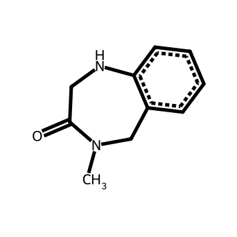 CN1Cc2ccccc2NCC1=O